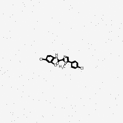 Cn1c(-c2ccc(Cl)cc2)cnc1C(=O)Nc1ccc(Cl)cc1Cl